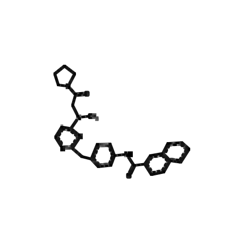 CN(CC(=O)N1CCCC1)c1[c]cnc(Cc2ccc(NC(=O)c3ccc4ccccc4c3)cc2)n1